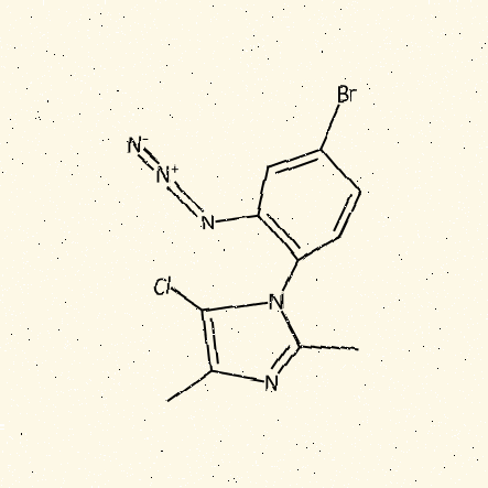 Cc1nc(C)n(-c2ccc(Br)cc2N=[N+]=[N-])c1Cl